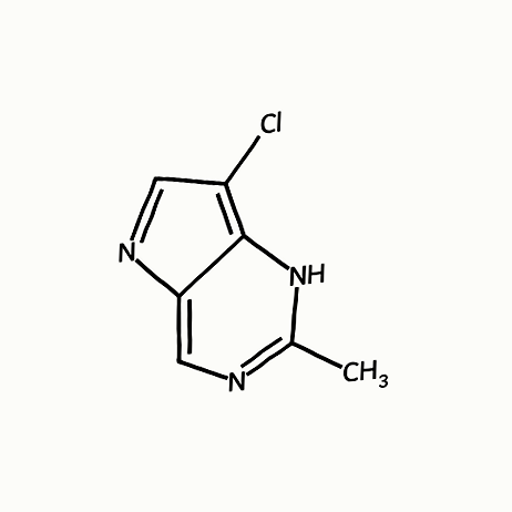 Cc1ncc2ncc(Cl)c-2[nH]1